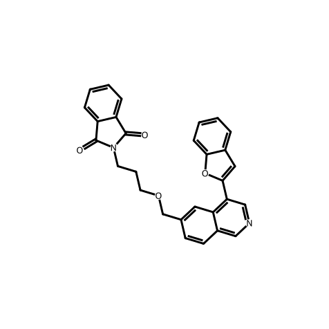 O=C1c2ccccc2C(=O)N1CCCOCc1ccc2cncc(-c3cc4ccccc4o3)c2c1